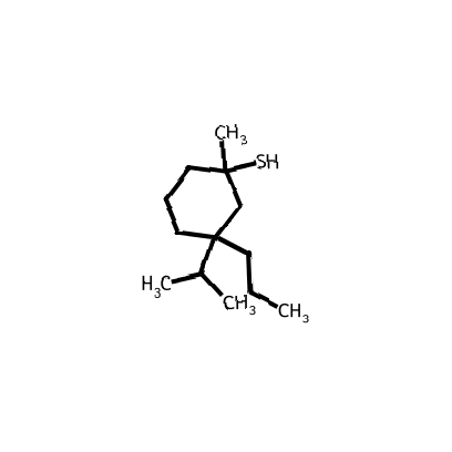 CCCC1(C(C)C)CCCC(C)(S)C1